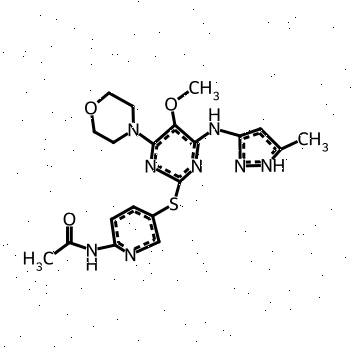 COc1c(Nc2cc(C)[nH]n2)nc(Sc2ccc(NC(C)=O)nc2)nc1N1CCOCC1